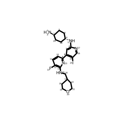 N[C@H]1CC[C@H](Nc2cc(-c3ccc(F)c(NCC4CCOCC4)n3)c(I)cn2)CC1